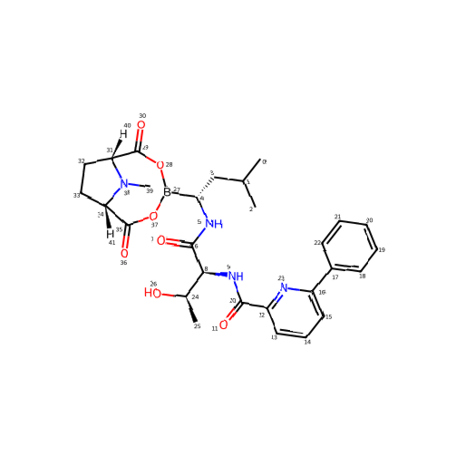 CC(C)C[C@H](NC(=O)[C@@H](NC(=O)c1cccc(-c2ccccc2)n1)[C@@H](C)O)B1OC(=O)[C@H]2CC[C@@H](C(=O)O1)N2C